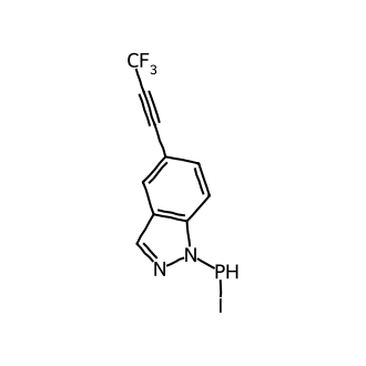 FC(F)(F)C#Cc1ccc2c(cnn2PI)c1